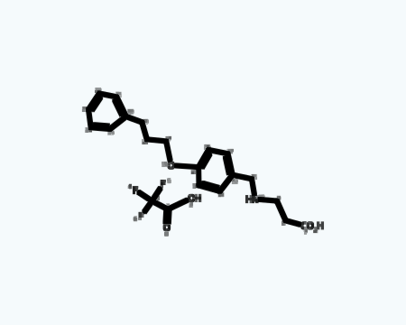 O=C(O)C(F)(F)F.O=C(O)CCNCc1ccc(OCCCc2ccccc2)cc1